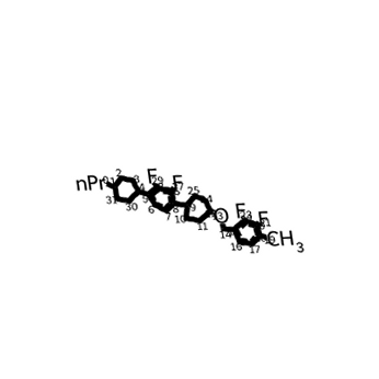 CCCC1CCC(c2ccc(C3CCC(OCc4ccc(C)c(F)c4F)CC3)c(F)c2F)CC1